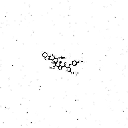 CCCCCCN(C(=O)C(NC(=O)C1CCCCN1C)[C@@H](C)CC)[C@H](C[C@@H](OC(C)=O)c1nc(C(=O)N[C@@H](Cc2ccc(OC)cc2)C[C@H](C)C(=O)O)cs1)C(C)C